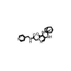 O=C(Cn1ncc(NC2CC3CC4CC(C3)C2C4)c(Br)c1=O)NCc1ccncc1